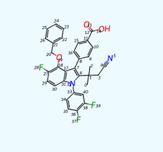 CC(C)(CC#N)c1c(-c2ccc(C(=O)O)cc2)c2c(OCc3ccccc3)c(F)ccc2n1-c1ccc(F)c(F)c1